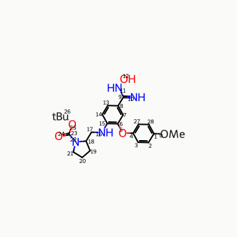 COc1ccc(Oc2cc(C(=N)NO)ccc2NCC2CCCN2C(=O)OC(C)(C)C)cc1